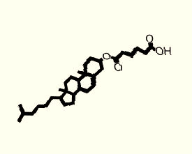 CC(C)CCCCC1CCC2C3CC=C4CC(OC(=O)CCCCC(=O)O)CCC4(C)C3CCC12C